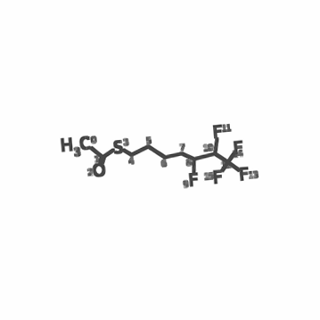 CC(=O)SCCCCC(F)C(F)C(F)(F)F